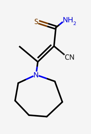 C/C(=C(/C#N)C(N)=S)N1CCCCCC1